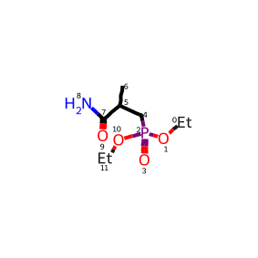 CCOP(=O)(CC(C)C(N)=O)OCC